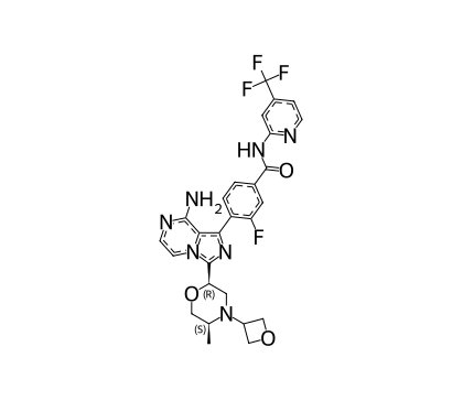 C[C@H]1CO[C@@H](c2nc(-c3ccc(C(=O)Nc4cc(C(F)(F)F)ccn4)cc3F)c3c(N)nccn23)CN1C1COC1